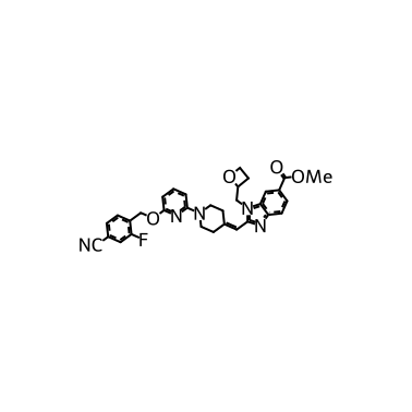 COC(=O)c1ccc2nc(C=C3CCN(c4cccc(OCc5ccc(C#N)cc5F)n4)CC3)n(CC3CCO3)c2c1